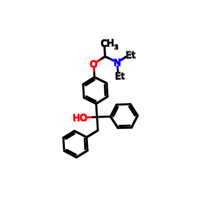 CCN(CC)C(C)Oc1ccc(C(O)(Cc2ccccc2)c2ccccc2)cc1